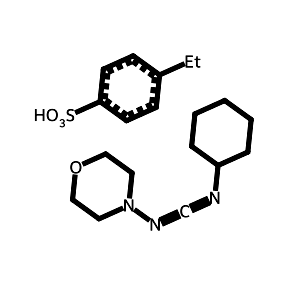 C(=NC1CCCCC1)=NN1CCOCC1.CCc1ccc(S(=O)(=O)O)cc1